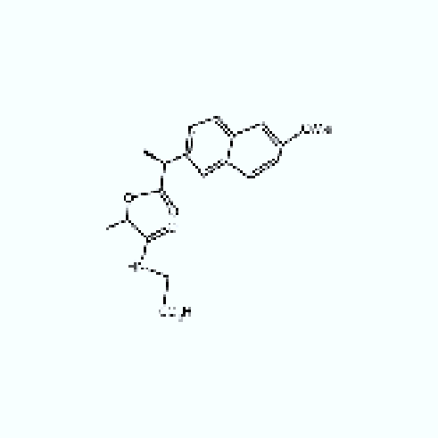 COc1ccc2cc([C@H](C)C(=O)OC(C)C(=O)NCC(=O)O)ccc2c1